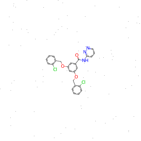 O=C(Nc1cccnn1)c1cc(OCc2ccccc2Cl)cc(OCc2ccccc2Cl)c1